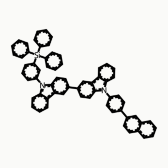 c1ccc([Si](c2ccccc2)(c2ccccc2)c2cccc(-n3c4ccccc4c4cc(-c5ccc6c(c5)c5ccccc5n6-c5ccc(-c6ccc7ccccc7c6)cc5)ccc43)c2)cc1